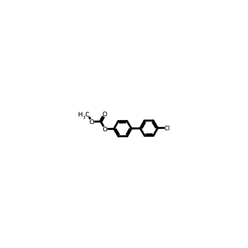 COC(=O)Oc1ccc(-c2ccc(Cl)cc2)cc1